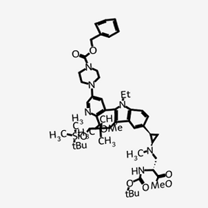 CCn1c(-c2cc(N3CCN(C(=O)OCc4ccccc4)CC3)cnc2[C@@H](C)OC)c(CC(C)(C)CO[Si](C)(C)C(C)(C)C)c2cc([C@H]3C[C@@H]3N(C)C[C@@H](NC(=O)OC(C)(C)C)C(=O)OC)ccc21